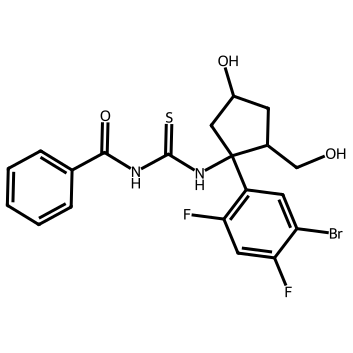 O=C(NC(=S)NC1(c2cc(Br)c(F)cc2F)CC(O)CC1CO)c1ccccc1